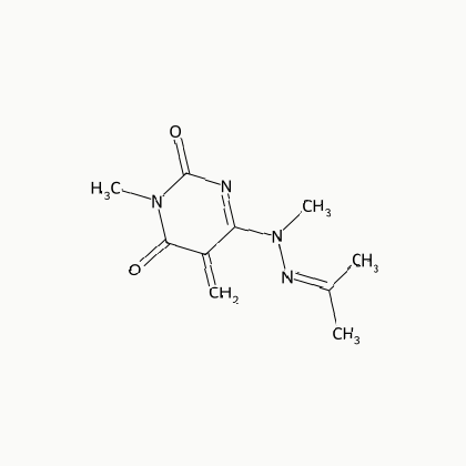 C=C1C(=O)N(C)C(=O)N=C1N(C)N=C(C)C